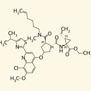 C=CCCCCN(C)C(=O)[C@@H]1CC(Oc2cc(-c3nc(C(C)C)cs3)nc3c(Cl)c(OC)ccc23)C[C@H]1C(=O)N[C@]1(C(=O)OCC)C[C@H]1C=C